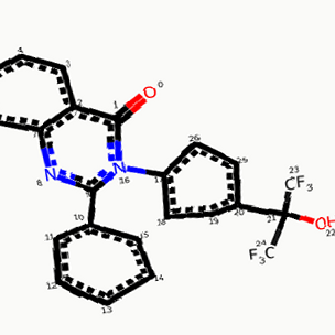 O=c1c2ccccc2nc(-c2ccccc2)n1-c1ccc(C(O)(C(F)(F)F)C(F)(F)F)cc1